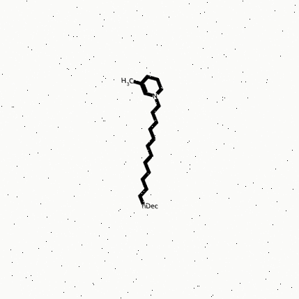 CCCCCCCCCCCCCCCCCCCCCCN1C=C(C)CCC1